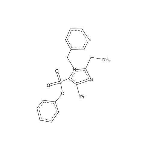 CC(C)c1nc(CN)n(Cc2cccnc2)c1S(=O)(=O)Oc1ccccc1